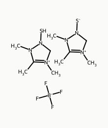 CC1=[N+](C)CN(S)N1C.CC1=[N+](C)CN([S-])N1C.F[B-](F)(F)F